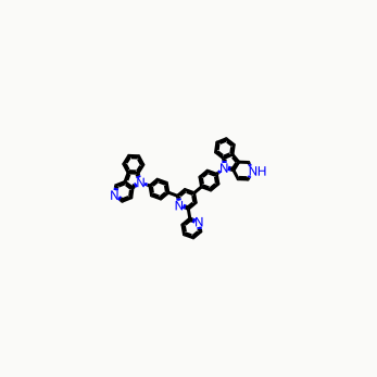 C1=Cc2c(c3ccccc3n2-c2ccc(-c3cc(-c4ccc(-n5c6ccccc6c6cnccc65)cc4)nc(-c4ccccn4)c3)cc2)CN1